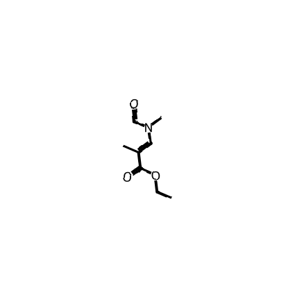 CCOC(=O)C(C)=CN(C)C=O